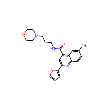 Cc1ccc2nc(-c3ccco3)cc(C(=O)NCCCN3CCOCC3)c2c1